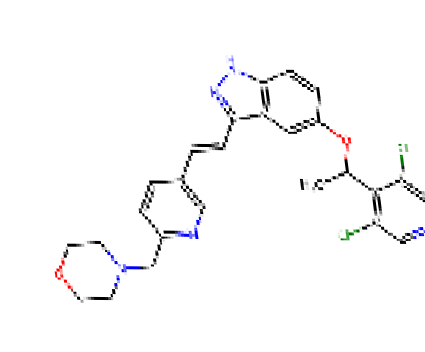 CC(Oc1ccc2[nH]nc(/C=C/c3ccc(CN4CCOCC4)nc3)c2c1)c1c(Cl)cncc1Cl